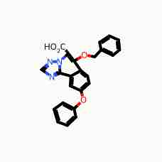 O=C(O)c1c(OCc2ccccc2)c2ccc(Oc3ccccc3)cc2c2ncnn12